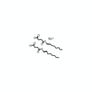 CCCCCCC=COC(=O)CCC(=O)[O-].CCCCCCC=COC(=O)CCC(=O)[O-].[Ba+2]